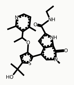 CCNC(=O)c1cc2c(-c3sc(C(C)(C)O)cc3OC(C)c3c(C)ccnc3C)cn(C)c(=O)c2[nH]1